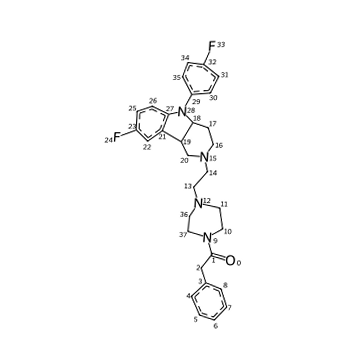 O=C(Cc1ccccc1)N1CCN(CCN2CCC3C(C2)c2cc(F)ccc2N3c2ccc(F)cc2)CC1